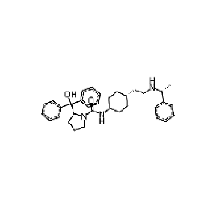 C[C@@H](NCC[C@H]1CC[C@H](NC(=O)N2CCC[C@H]2C(O)(c2ccccc2)c2ccccc2)CC1)c1ccccc1